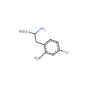 CCOC(=O)C(N)Cc1ccc(Cl)cc1[N+](=O)[O-]